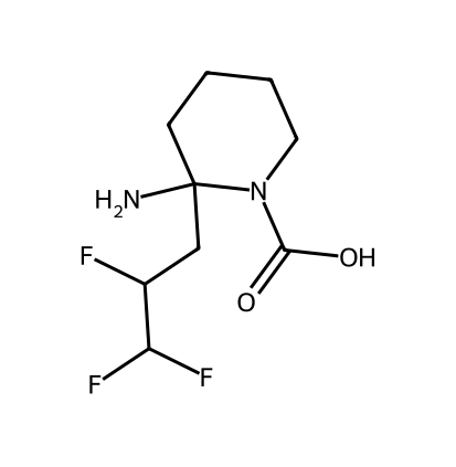 NC1(CC(F)C(F)F)CCCCN1C(=O)O